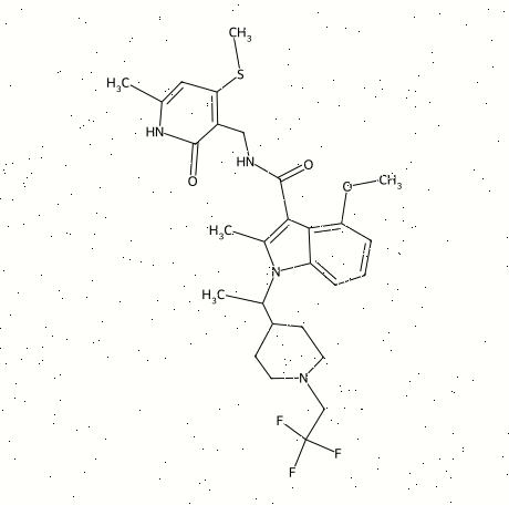 COc1cccc2c1c(C(=O)NCc1c(SC)cc(C)[nH]c1=O)c(C)n2C(C)C1CCN(CC(F)(F)F)CC1